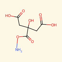 NOC(=O)C(O)(CC(=O)O)CC(=O)O